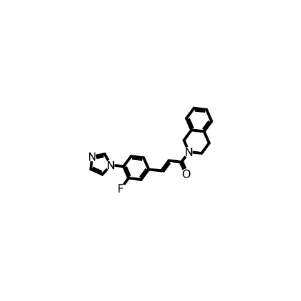 O=C(C=Cc1ccc(-n2ccnc2)c(F)c1)N1CCc2ccccc2C1